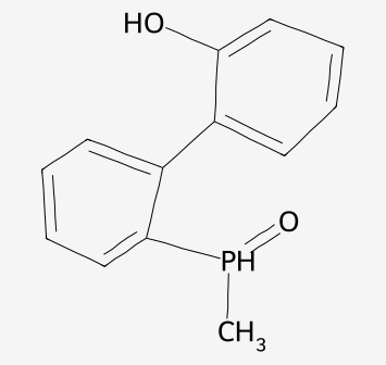 C[PH](=O)c1ccccc1-c1ccccc1O